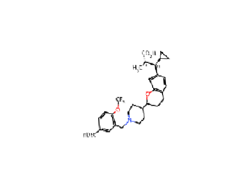 CCCCCCCCCCc1ccc(OC(F)(F)F)c(CN2CCC(C3CCc4ccc([C@H](C5CC5)[C@H](C)C(=O)O)cc4O3)CC2)c1